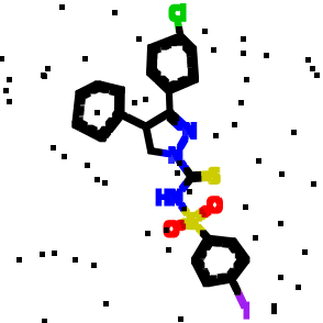 O=S(=O)(NC(=S)N1CC(c2ccccc2)C(c2ccc(Cl)cc2)=N1)c1ccc(I)cc1